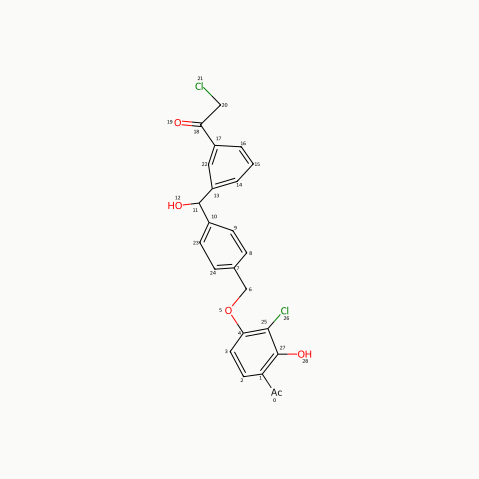 CC(=O)c1ccc(OCc2ccc(C(O)c3cccc(C(=O)CCl)c3)cc2)c(Cl)c1O